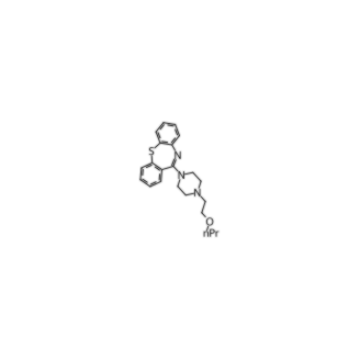 CCCOCCN1CCN(C2=Nc3ccccc3Sc3ccccc32)CC1